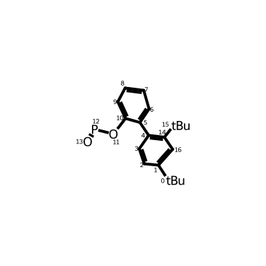 CC(C)(C)c1ccc(-c2ccccc2OP=O)c(C(C)(C)C)c1